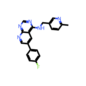 Cc1ccc(CNc2ncnc3ncc(-c4ccc(F)cc4)cc23)cn1